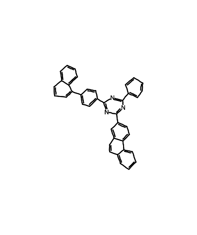 c1ccc(-c2nc(-c3ccc(-c4cccc5ccccc45)cc3)nc(-c3ccc4c(ccc5ccccc54)c3)n2)cc1